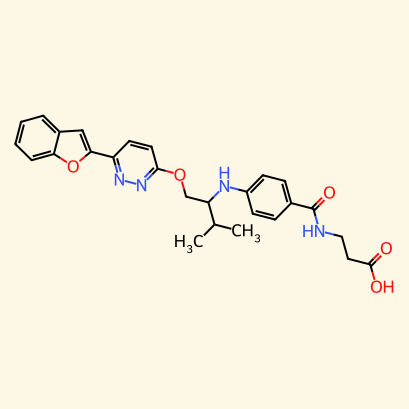 CC(C)C(COc1ccc(-c2cc3ccccc3o2)nn1)Nc1ccc(C(=O)NCCC(=O)O)cc1